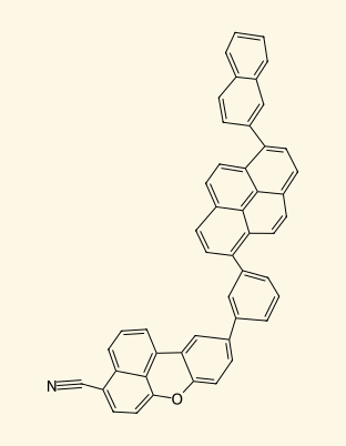 N#Cc1ccc2c3c(cccc13)-c1cc(-c3cccc(-c4ccc5ccc6c(-c7ccc8ccccc8c7)ccc7ccc4c5c76)c3)ccc1O2